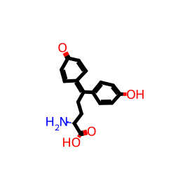 N[C@H](CCC(=C1C=CC(=O)C=C1)c1ccc(O)cc1)C(=O)O